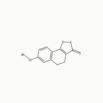 CC(C)Oc1ccc2c(c1)CCc1c-2ssc1=S